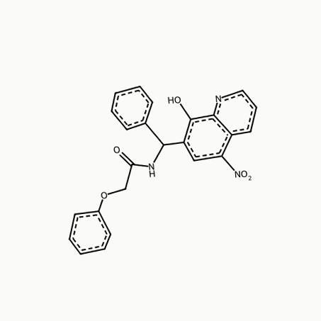 O=C(COc1ccccc1)NC(c1ccccc1)c1cc([N+](=O)[O-])c2cccnc2c1O